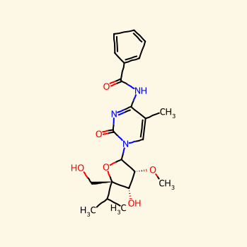 CO[C@H]1C(n2cc(C)c(NC(=O)c3ccccc3)nc2=O)O[C@@](CO)(C(C)C)[C@H]1O